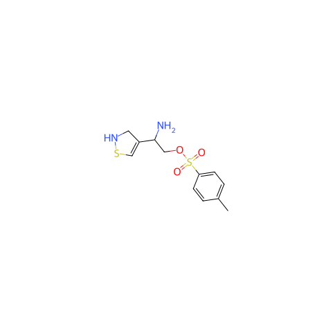 Cc1ccc(S(=O)(=O)OCC(N)C2=CSNC2)cc1